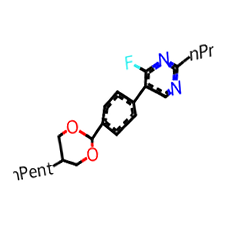 CCCCCC1COC(c2ccc(-c3cnc(CCC)nc3F)cc2)OC1